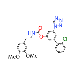 COc1ccc(CCNC(=O)Oc2cc(-c3ccccc3Cl)cc(-n3cnnn3)c2)cc1OC